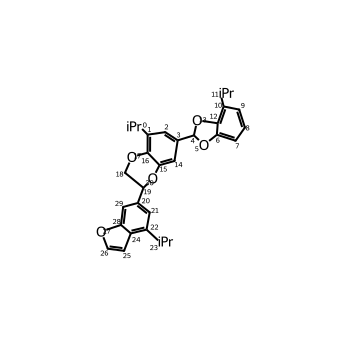 CC(C)c1cc(C2Oc3cccc(C(C)C)c3O2)cc2c1OCC(c1cc(C(C)C)c3ccoc3c1)O2